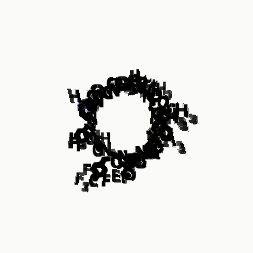 CCO[C@@H]1C[C@H]2C(=O)NC3(CCC3)C(=O)N(C)[C@@H](C3CCCC3)C(=O)N(C)[C@H](C(=O)N(C)C)CC(=O)N(C)[C@@H](CC)C(=O)N[C@@H]([C@@H](C)CC)C(=O)N(C)CC(=O)N(C)[C@H]3C/C=C\CCN(C3=O)[C@@H](CC3CCC(F)(F)CC3)C(=O)N(C)CC(=O)N[C@@H](CCc3cc(F)c(C(F)(F)F)c(F)c3)C(=O)N2C1